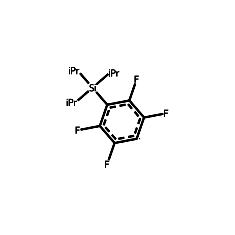 CC(C)[Si](c1c(F)c(F)[c]c(F)c1F)(C(C)C)C(C)C